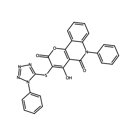 O=c1oc2c(c(O)c1Sc1nnnn1-c1ccccc1)c(=O)n(-c1ccccc1)c1ccccc21